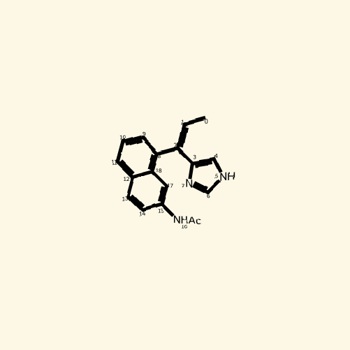 CC=C(c1c[nH]cn1)c1cccc2ccc(NC(C)=O)cc12